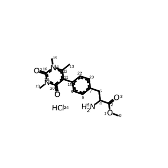 COC(=O)C(N)Cc1ccc(-c2c(C)n(C)c(=O)n(C)c2=O)cc1.Cl